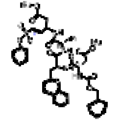 CC(C)[C@H](NC(=O)C(Cc1ccc2ccccc2n1)NC(=O)[C@H](CC(=O)OC(C)(C)C)NC(=O)OCc1ccccc1)C(=O)NC(/C=C/S(=O)(=O)Oc1ccccc1)CC(=O)OC(C)(C)C